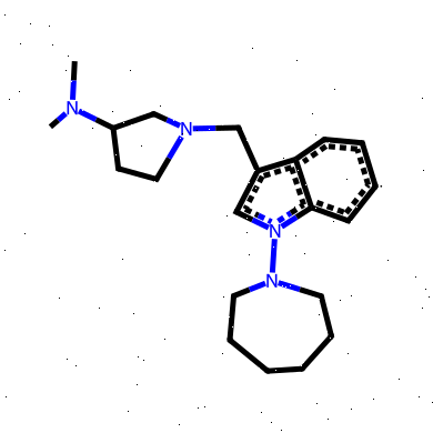 CN(C)C1CCN(Cc2cn(N3CCCCCC3)c3c[c]ccc23)C1